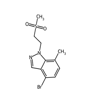 Cc1ccc(Br)c2cnn(CCS(C)(=O)=O)c12